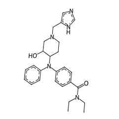 CCN(CC)C(=O)c1ccc(N(c2ccccc2)C2CCN(Cc3cnc[nH]3)CC2O)cc1